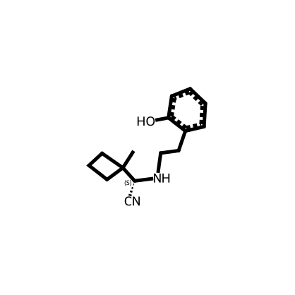 CC1([C@@H](C#N)NCCc2ccccc2O)CCC1